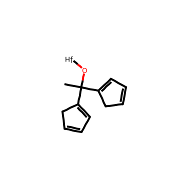 CC([O][Hf])(C1=CC=CC1)C1=CC=CC1